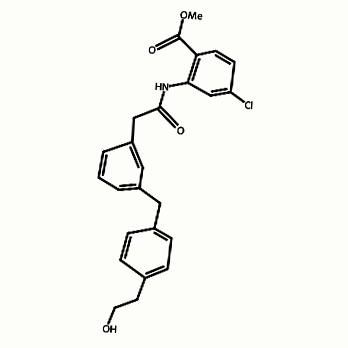 COC(=O)c1ccc(Cl)cc1NC(=O)Cc1cccc(Cc2ccc(CCO)cc2)c1